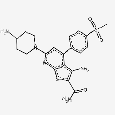 CS(=O)(=O)c1ccc(-c2cc(N3CCC(N)CC3)nc3sc(C(N)=O)c(N)c23)cc1